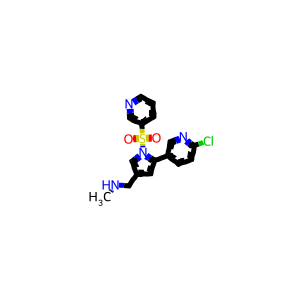 CNCc1cc(-c2ccc(Cl)nc2)n(S(=O)(=O)c2cccnc2)c1